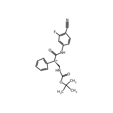 CC(C)(C)OC(=O)NC[C@H](C(=O)Nc1ccc(C#N)c(F)c1)c1ccccc1